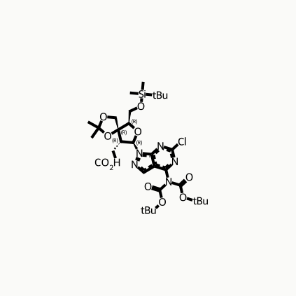 CC(C)(C)OC(=O)N(C(=O)OC(C)(C)C)c1nc(Cl)nc2c1cnn2[C@@H]1O[C@H](CO[Si](C)(C)C(C)(C)C)[C@]2(COC(C)(C)O2)[C@H]1CC(=O)O